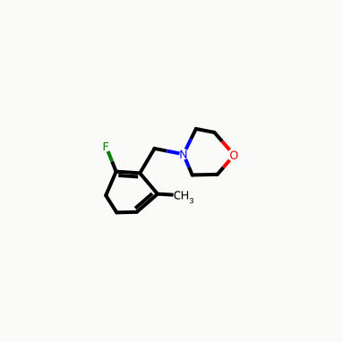 CC1=CCCC(F)=C1CN1CCOCC1